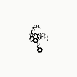 CCOCc1nc2cnc3cc(OCc4ccccc4)ccc3c2n1CC1COC(C)(C)O1